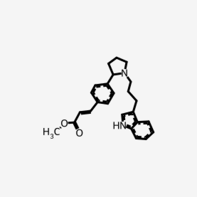 COC(=O)C=Cc1ccc(C2CCCN2CCCc2c[nH]c3ccccc23)cc1